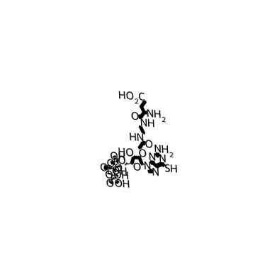 Nc1nc(S)c2ncn([C@@H]3O[C@H](COP(=O)(O)OP(=O)(O)OP(=O)(O)O)C(O)[C@@H]3OCC(=O)NCCNC(=O)C(N)CCC(=O)O)c2n1